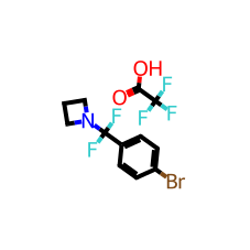 FC(F)(c1ccc(Br)cc1)N1CCC1.O=C(O)C(F)(F)F